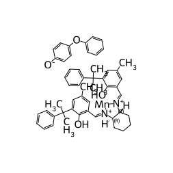 Cc1cc(C=[N+]2[Mn][N+](=Cc3cc(C)cc(C(C)(C)c4ccccc4)c3O)[C@@H]3CCCC[C@H]32)c(O)c(C(C)(C)c2ccccc2)c1.[O-]c1ccc(Oc2ccccc2)cc1